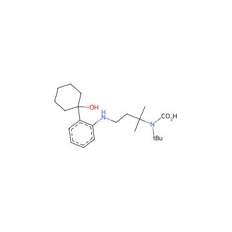 CC(C)(C)N(C(=O)O)C(C)(C)CCNc1ccccc1C1(O)CCCCC1